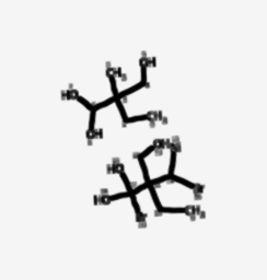 CCC(C)(CO)C(O)O.CCC(CO)([CH]([Ni])Br)C(O)(O)Br